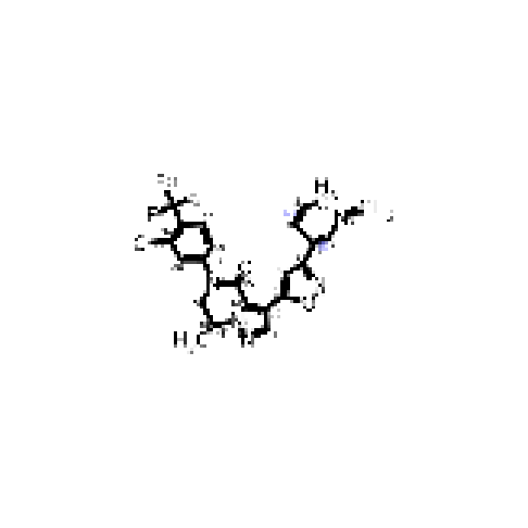 C=N/C=C(\C=C/C)c1cc(-c2cnn3c2C(=O)N(c2ccc(C(F)(F)F)c(Cl)c2)C[C@@H]3C)on1